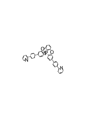 S=P12c3ccc(-c4ccc(-c5ccccn5)cc4)cc3Oc3cccc(c31)Oc1cc(-c3ccc(-c4ccccn4)cc3)ccc12